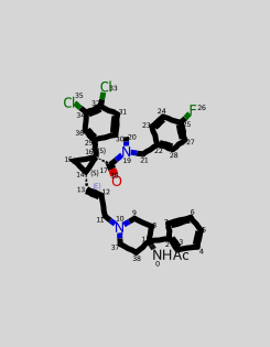 CC(=O)NC1(c2ccccc2)CCN(C/C=C/[C@@H]2C[C@@]2(C(=O)N(C)Cc2ccc(F)cc2)c2ccc(Cl)c(Cl)c2)CC1